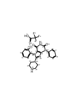 O=C(O)C(F)(F)F.O=c1[nH]c(=O)n(-c2ccccc2)c2nc(N3CCNCC3)n(-c3ccccc3Cl)c12